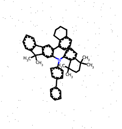 CC1(C)CCC(C)(C)c2c(N(c3ccc(-c4ccccc4)cc3)c3cc4c(cc3-c3cccc5c3CCCC5)-c3ccccc3C4(C)C)cccc21